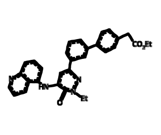 CCOC(=O)Cc1ccc(-c2cccc(-c3cc(Nc4cccc5ncccc45)c(=O)n(CC)n3)c2)cc1